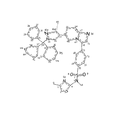 Cc1csc(N(C)S(=O)(=O)c2ccc(-c3cnc4ccc(-c5cn(C(c6ccccc6)(c6ccccc6)c6ccccc6)nc5C)cn34)cc2)n1